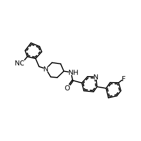 N#Cc1ccccc1CN1CCC(NC(=O)c2ccc(-c3cccc(F)c3)nc2)CC1